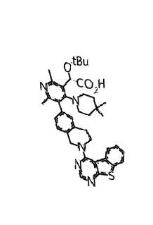 Cc1nc(C)c([C@H](OC(C)(C)C)C(=O)O)c(N2CCC(C)(C)CC2)c1-c1ccc2c(c1)CCN(c1ncnc3sc4ccccc4c13)C2